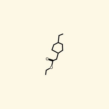 CCOC(=O)CC1CCC(CC)CC1